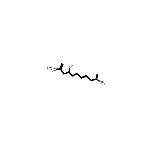 C=C(CC(O)CCCCCC(C)C(F)(F)F)C(=O)O